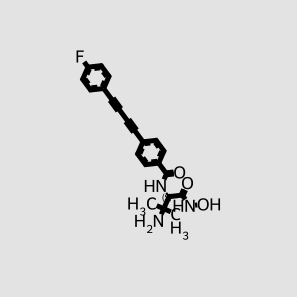 CC(C)(N)[C@H](NC(=O)c1ccc(C#CC#Cc2ccc(F)cc2)cc1)C(=O)NO